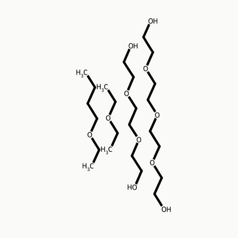 CCCCOCC.CCOCC.OCCOCCOCCO.OCCOCCOCCOCCO